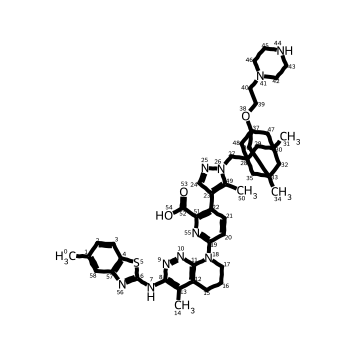 Cc1ccc2sc(Nc3nnc4c(c3C)CCCN4c3ccc(-c4cnn(CC56CC7(C)CC(C)(C5)CC(OCCN5CCNCC5)(C7)C6)c4C)c(C(=O)O)n3)nc2c1